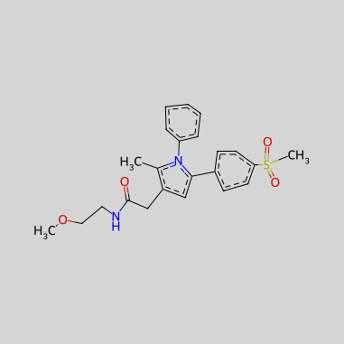 COCCNC(=O)Cc1cc(-c2ccc(S(C)(=O)=O)cc2)n(-c2ccccc2)c1C